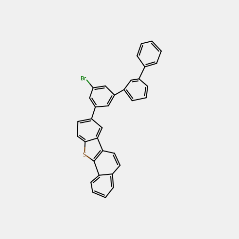 Brc1cc(-c2cccc(-c3ccccc3)c2)cc(-c2ccc3sc4c5ccccc5ccc4c3c2)c1